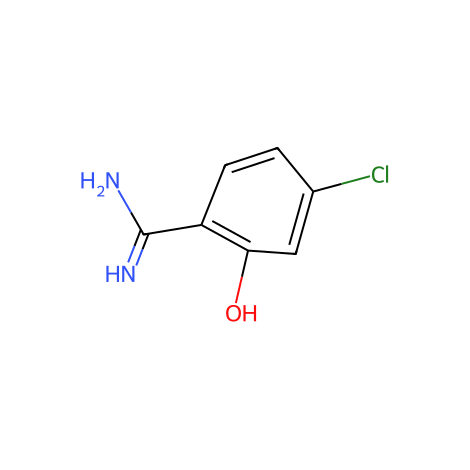 N=C(N)c1ccc(Cl)cc1O